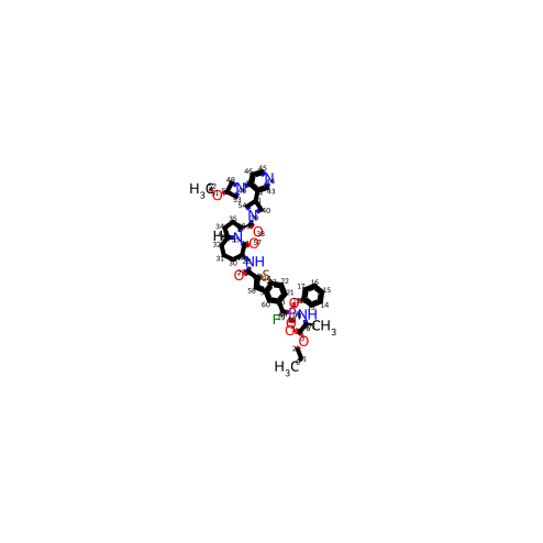 CCCOC(=O)[C@H](C)NP(=O)(Oc1ccccc1)[C@H](F)c1ccc2sc(C(=O)N[C@H]3CCC[C@H]4CC[C@@H](C(=O)N5CC(c6cnccc6N6CC(OC)C6)C5)N4C3=O)cc2c1